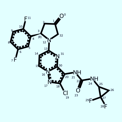 O=C1C[C@H](c2cc(F)ccc2F)N(c2ccn3nc(Cl)c(NC(=O)NC4CC4(F)F)c3n2)C1